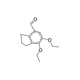 CCOc1cc(C=O)c2c(c1OCC)CCC2